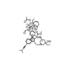 CC[C@]1(O)C[C@H]2CN(CCc3c([nH]c4ccc(C#CC(C)C)cc34)[C@@](C(=O)OC)(C3C=C4C(=CC3OC)N(C=O)[C@@]35O[C@]3(C(=O)OC)[C@H](OC(C)=O)[C@]3(CC)C=CCN6CC[C@]45[C@@H]63)C2)C1